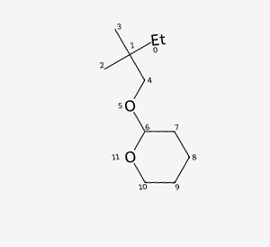 CCC(C)(C)COC1CCCCO1